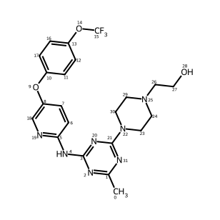 Cc1nc(Nc2ccc(Oc3ccc(OC(F)(F)F)cc3)cn2)nc(N2CCN(CCO)CC2)n1